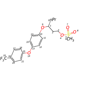 CCCC(CCOS(C)(=O)=O)Oc1ccc(Oc2ccc(C(F)(F)F)cc2)cc1